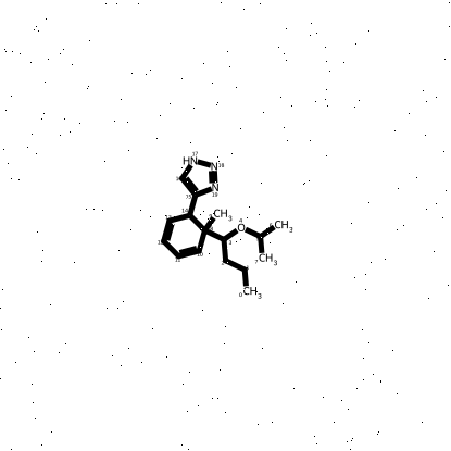 CCCC(OC(C)C)C1(C)C=CC=CC1c1c[nH]nn1